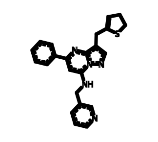 C1=C(Cc2cnn3c(NCc4cccnc4)cc(-c4ccccc4)nc23)SCC1